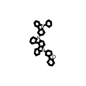 c1ccc(-n2c3ccccc3c3cc(-n4c5ccccc5c5c6c7ccccc7n(-c7ccc8oc9ccccc9c8c7)c6ccc54)ccc32)cc1